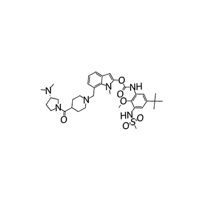 COc1c(NC(=O)Oc2cc3cccc(CN4CCC(C(=O)N5CC[C@H](N(C)C)C5)CC4)c3n2C)cc(C(C)(C)C)cc1NS(C)(=O)=O